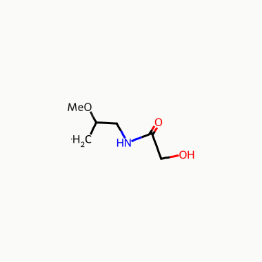 [CH2]C(CNC(=O)CO)OC